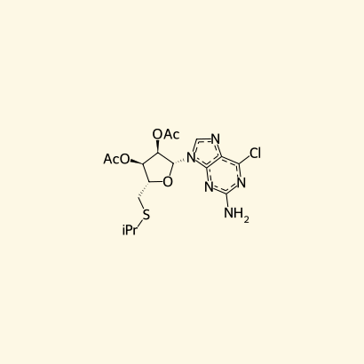 CC(=O)O[C@@H]1[C@H](OC(C)=O)[C@@H](CSC(C)C)O[C@H]1n1cnc2c(Cl)nc(N)nc21